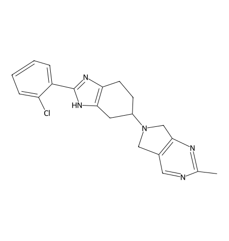 Cc1ncc2c(n1)CN(C1CCc3nc(-c4ccccc4Cl)[nH]c3C1)C2